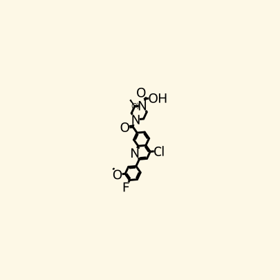 COc1cc(-c2cc(Cl)c3ccc(C(=O)N4CCN(C(=O)O)[C@H](C)C4)cc3n2)ccc1F